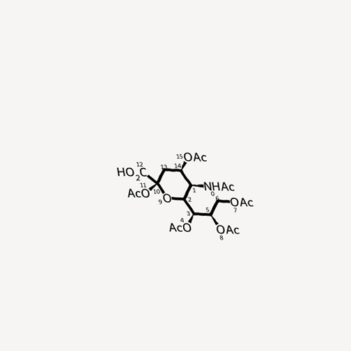 CC(=O)N[C@H]1C([C@H](OC(C)=O)[C@@H](COC(C)=O)OC(C)=O)O[C@](OC(C)=O)(C(=O)O)C[C@H]1OC(C)=O